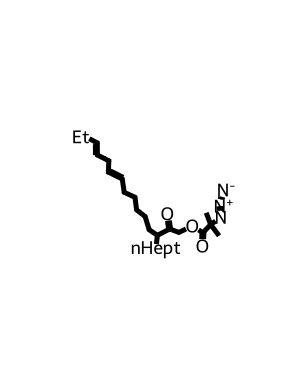 CCC=CCC=CCCCCCC(CCCCCCC)C(=O)COC(=O)C(C)(C)N=[N+]=[N-]